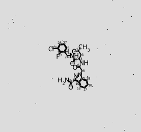 CC(C)CC(NC(=O)Cn1nc(C(N)=O)c2ccccc21)C(=O)NCc1cccc(Cl)c1F